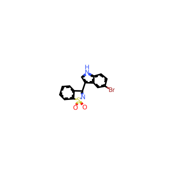 O=S1(=O)N=C(c2c[nH]c3ccc(Br)cc23)c2ccccc21